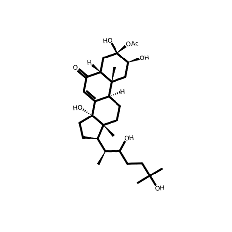 CC(=O)O[C@]1(O)C[C@H]2C(=O)C=C3[C@H](CC[C@]4(C)[C@@H]([C@H](C)C(O)CCC(C)(C)O)CC[C@@]34O)[C@@]2(C)C[C@@H]1O